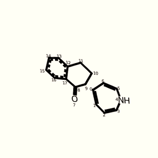 C1=CC=CNC=C1.O=C1CCCc2ccccc21